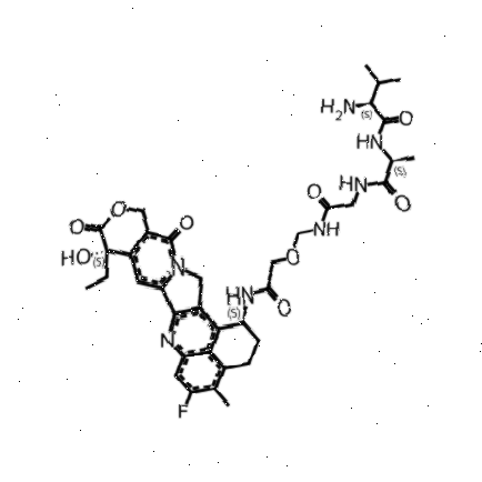 CC[C@@]1(O)C(=O)OCc2c1cc1n(c2=O)Cc2c-1nc1cc(F)c(C)c3c1c2[C@@H](NC(=O)COCNC(=O)CNC(=O)[C@H](C)NC(=O)[C@@H](N)C(C)C)CC3